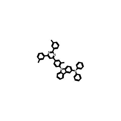 Cc1cccc(-c2cc(-c3ccc(-n4c5ccccc5c5cc(N(c6ccccc6)c6ccccc6)ccc54)c(C)c3)nc(-c3cccc(C)c3)n2)c1